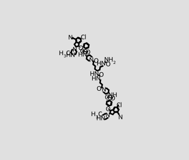 C[C@@H]1CN([C@H]2Cc3c(C#N)cc(Cl)cc3[C@@H]2Oc2ccc(S(=O)(=O)NC3CCN(C(=O)CCCNC(=O)NC(CCCNC(N)=O)CCCC(=O)N4CCC(NS(=O)(=O)c5ccccc5O[C@H]5c6cc(Cl)cc(C#N)c6C[C@@H]5N5CCN[C@H](C)C5)CC4)CC3)cc2)CCN1